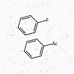 CC(=O)c1cc[c]cc1.Fc1cc[c]cc1